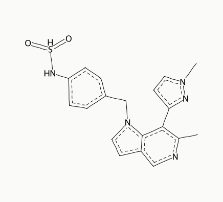 Cc1ncc2ccn(Cc3ccc(N[SH](=O)=O)cc3)c2c1-c1ccn(C)n1